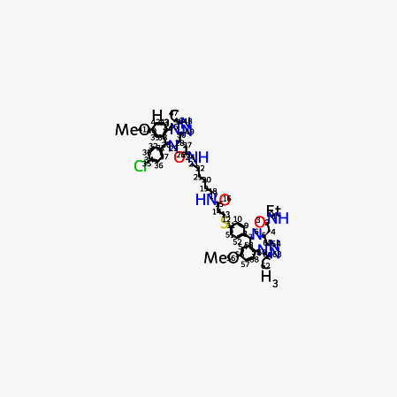 CCNC(=O)C[C@@H]1N=C(c2ccc(SCCC(=O)NCCCCCCNC(=O)C[C@@H]3N=C(c4ccc(Cl)cc4)c4cc(OC)ccc4-n4c(C)nnc43)cc2)c2cc(OC)ccc2-n2c(C)nnc21